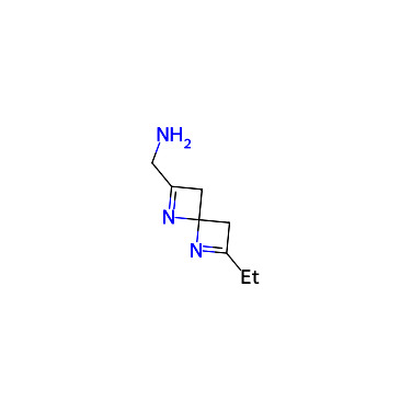 CCC1=NC2(C1)CC(CN)=N2